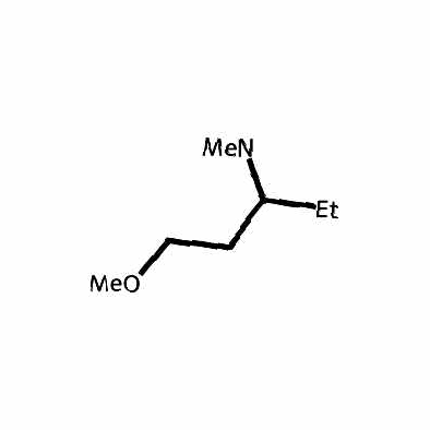 CCC(CCOC)NC